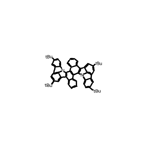 CC(C)(C)c1ccc2c(c1)c1cc(C(C)(C)C)cc3c4c5ccccc5c5c(c6ccccc6c6c7cc(C(C)(C)C)cc8c9cc(C(C)(C)C)ccc9n(c87)c65)c4n2c13